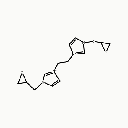 c1c[n+](CC[n+]2ccn(CC3CO3)c2)cn1CC1CO1